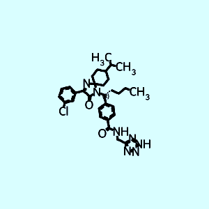 CCCC[C@H](c1ccc(C(=O)NCc2nn[nH]n2)cc1)N1C(=O)C(c2cccc(Cl)c2)=NC12CCC(C(C)C)CC2